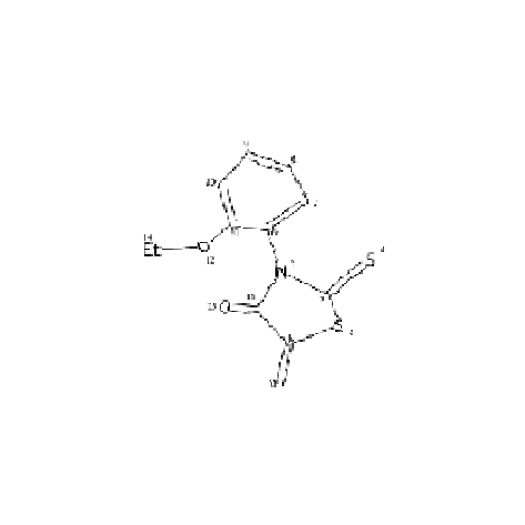 C=C1SC(=S)N(c2ccccc2OCC)C1=O